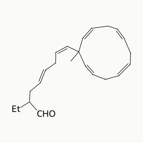 CCC(C=O)C/C=C/C/C=C\C1(C)/C=C\C/C=C\C/C=C\C/C=C\1